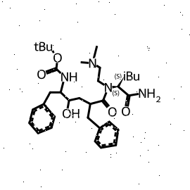 CC[C@H](C)[C@@H](C(N)=O)N(CCN(C)C)C(=O)C(Cc1ccccc1)CC(O)C(Cc1ccccc1)NC(=O)OC(C)(C)C